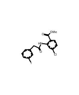 COC(=O)c1ccc(Cl)cc1NC(=O)Cc1cccc(I)c1